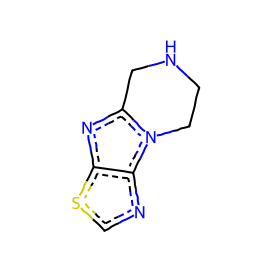 c1nc2c(nc3n2CCNC3)s1